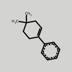 CC1(C)CC=C(c2ccccc2)CC1